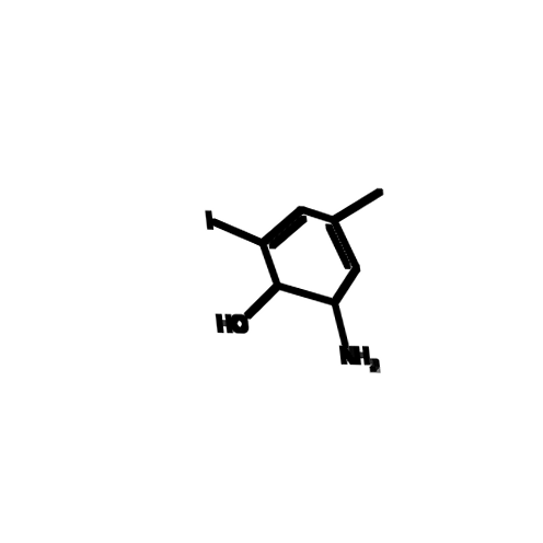 CC1=CC(N)C(O)C(I)=C1